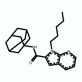 CCCCCn1c(C(=O)NC23CC4CC(CC(C4)C2)C3)cc2cccnc21